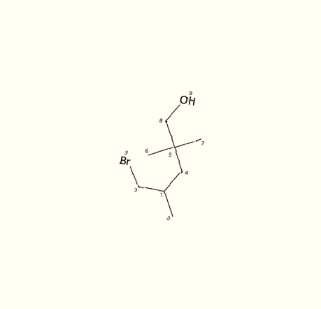 CC(CBr)CC(C)(C)CO